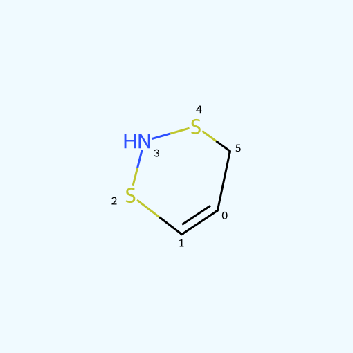 C1=CSNSC1